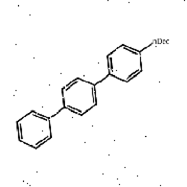 CCCCCCCCCCc1ccc(-c2ccc(-c3ccccc3)cc2)cc1